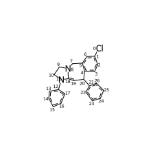 Clc1ccc2c(c1)CN1CCN(c3ccccc3)C1=CC2c1ccccc1